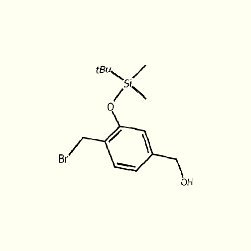 CC(C)(C)[Si](C)(C)Oc1cc(CO)ccc1CBr